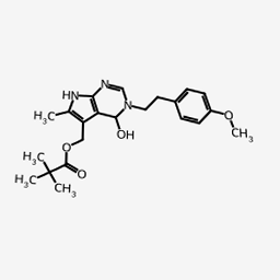 COc1ccc(CCN2C=Nc3[nH]c(C)c(COC(=O)C(C)(C)C)c3C2O)cc1